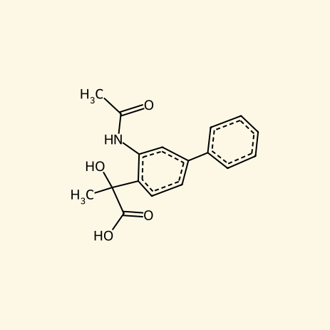 CC(=O)Nc1cc(-c2ccccc2)ccc1C(C)(O)C(=O)O